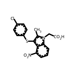 Cc1c(Sc2ccc(Cl)cc2)c2c([N+](=O)[O-])cccc2n1CC(=O)O